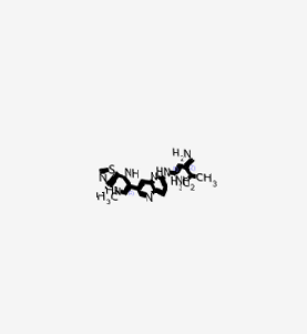 CN/C=C(\C(=N)c1cncs1)c1cnc2ccc(N/C(N)=C/C(=C\N)C(C)C)nc2c1